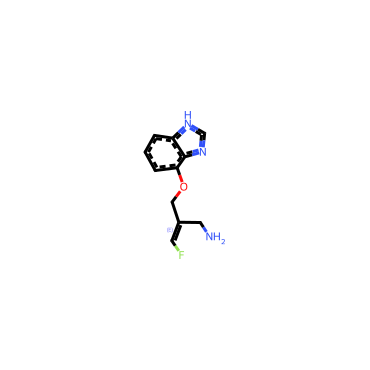 NC/C(=C\F)COc1cccc2[nH]cnc12